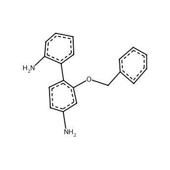 Nc1ccc(-c2ccccc2N)c(OCc2ccccc2)c1